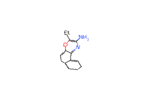 CCC1=C(N)N=C2C(=CCC3CCCC=C23)O1